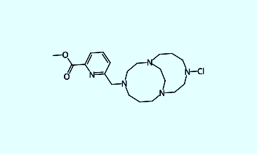 COC(=O)c1cccc(CN2CCCN3CCN(Cl)CCCN(CC3)CC2)n1